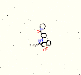 CCOC(=O)c1nn(C2CCCC(C(=O)N3CCCCC3)C2)c2c1CS(=O)(=O)c1ccccc1-2